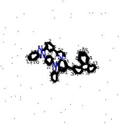 c1cncc(-c2cccc(-c3nc4ccccc4n3-c3ccc(-n4c5ccccc5c5cc(-c6ccc7c8ccccc8c8ccccc8c7c6)ccc54)cc3)c2)c1